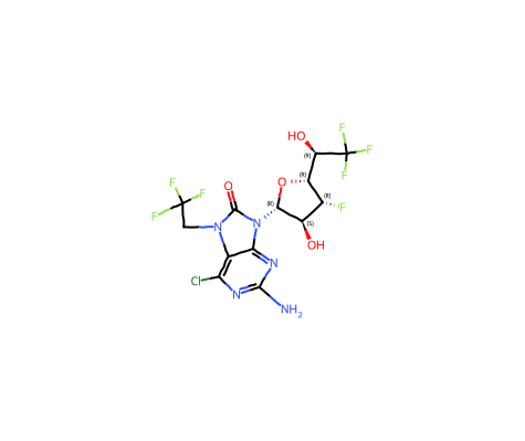 Nc1nc(Cl)c2c(n1)n([C@@H]1O[C@H]([C@@H](O)C(F)(F)F)[C@H](F)[C@H]1O)c(=O)n2CC(F)(F)F